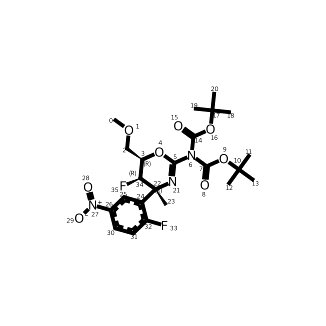 COC[C@H]1OC(N(C(=O)OC(C)(C)C)C(=O)OC(C)(C)C)=N[C@](C)(c2cc([N+](=O)[O-])ccc2F)[C@H]1F